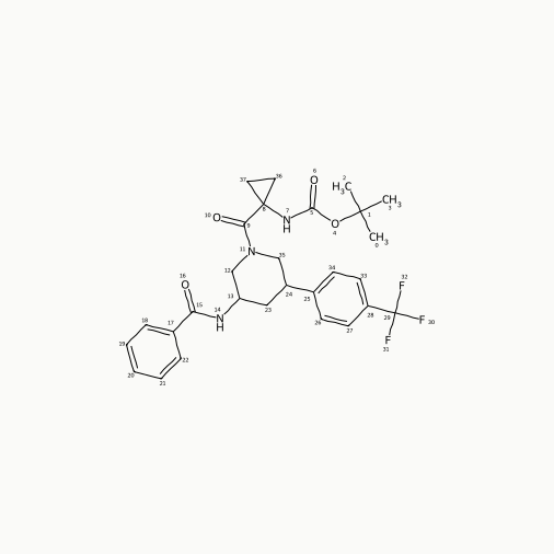 CC(C)(C)OC(=O)NC1(C(=O)N2CC(NC(=O)c3ccccc3)CC(c3ccc(C(F)(F)F)cc3)C2)CC1